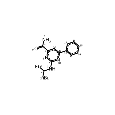 CCCCC(CC)Nc1nc(C(N)=O)cc(-c2ccccc2)n1